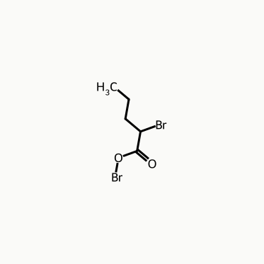 CCCC(Br)C(=O)OBr